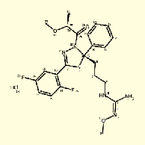 CO/N=C(/N)NCCC[C@@]1(c2ccccc2)SC(c2cc(F)ccc2F)=NN1C(=O)[C@H](C)OC.Cl